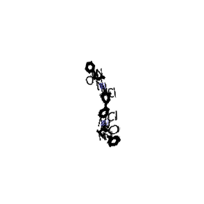 CC1=NN(c2ccccc2)C(=O)C1/N=N/c1ccc(-c2ccc(/N=N/C3C(=O)N(c4ccccc4)N=C3C)c(Cl)c2)cc1Cl